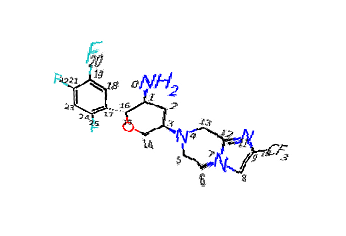 N[C@H]1C[C@@H](N2CCn3cc(C(F)(F)F)nc3C2)CO[C@@H]1c1cc(F)c(F)cc1F